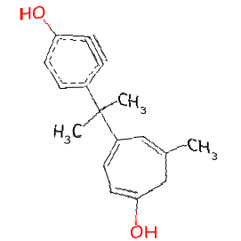 CC1=CC(C(C)(C)c2c#cc(O)cc2)=CC=C(O)C1